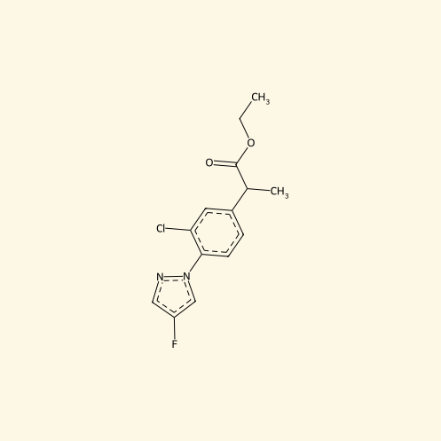 CCOC(=O)C(C)c1ccc(-n2cc(F)cn2)c(Cl)c1